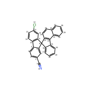 N#Cc1ccc2c(c1)C1(c3cc(Cl)ccc3-2)c2ccccc2-c2c1ccc1ccccc21